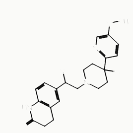 COc1ccc(C2(O)CCN(CC(O)c3ccc4c(c3)CCC(=O)N4)CC2)nc1